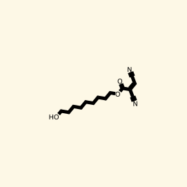 N#CC=C(C#N)C(=O)OCCCCCCCCCO